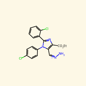 CCOC(=O)c1nc(-c2ccccc2Cl)n(-c2ccc(Cl)cc2)c1/C=N\N